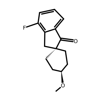 CO[C@H]1CC[C@]2(CC1)Cc1c(F)cccc1C2=O